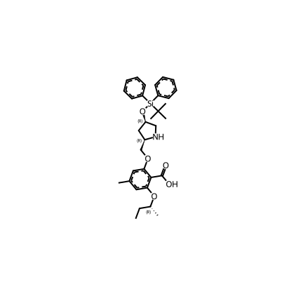 CC[C@@H](C)Oc1cc(C)cc(OC[C@H]2C[C@@H](O[Si](c3ccccc3)(c3ccccc3)C(C)(C)C)CN2)c1C(=O)O